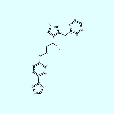 OC(CCCc1ccc(-c2ncco2)cc1)c1cncn1Cc1ccccc1